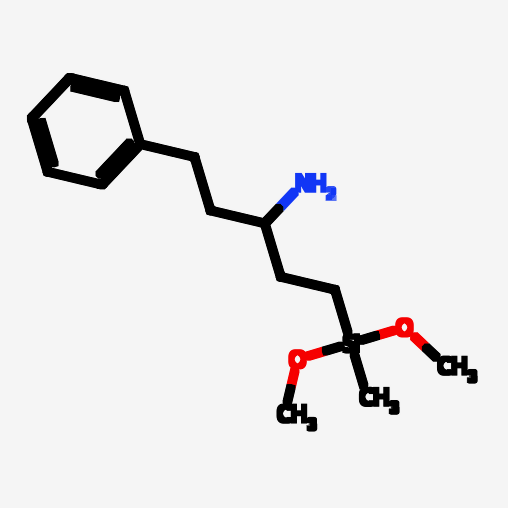 CO[Si](C)(CCC(N)CCc1ccccc1)OC